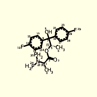 C[C@H](C(=O)O[C@@H](C)C(O)(c1ccc(F)cc1)c1ccc(F)cc1)N(P)P